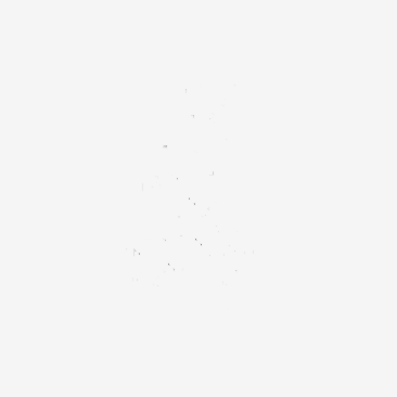 O=C(NC(CS(=O)(=O)c1ccccc1)C(=O)N[C@@H](CCCc1ccccc1)B(O)O)c1cnccn1